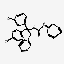 O=C(Nc1ccccc1)NC(Cc1ccccc1)(c1cccc(Cl)c1)c1ccc(Cl)cn1